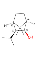 CC(C)[C@H]1[C@H]2CC[C@@](C)([C@H]1O)C2(C)C